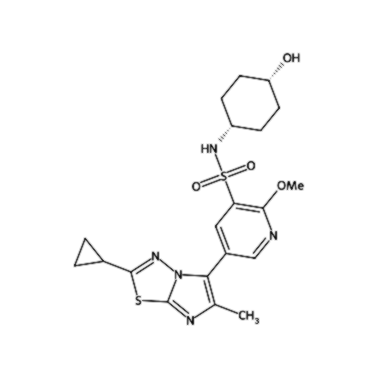 COc1ncc(-c2c(C)nc3sc(C4CC4)nn23)cc1S(=O)(=O)N[C@H]1CC[C@@H](O)CC1